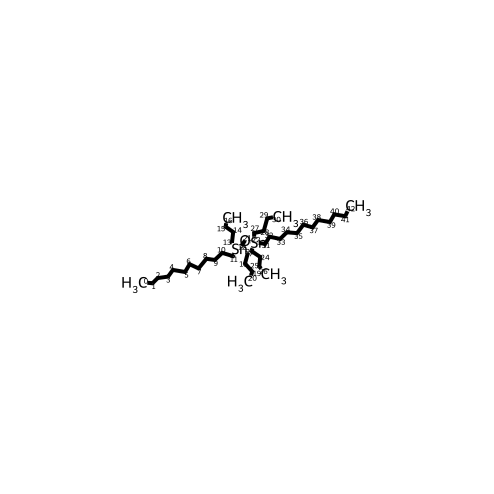 CCCCCCCCCCC[CH2][Sn]([CH2]CCC)([CH2]CCC)[O][Sn]([CH2]CCC)([CH2]CCC)[CH2]CCCCCCCCCCC